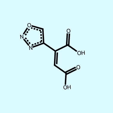 O=C(O)/C=C(\C(=O)O)c1conn1